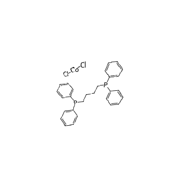 [Cl][Co][Cl].c1ccc(P(CCCCP(c2ccccc2)c2ccccc2)c2ccccc2)cc1